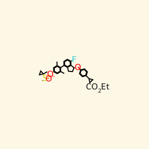 CCOC(=O)[C@H]1CC1c1ccc(OC2CCc3c(-c4c(C)cc(OCC5([S+](C)[O-])CC5)cc4C)ccc(F)c32)cc1